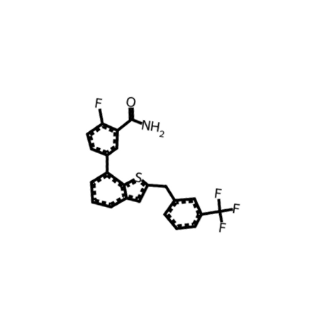 NC(=O)c1cc(-c2cccc3cc(Cc4cccc(C(F)(F)F)c4)sc23)ccc1F